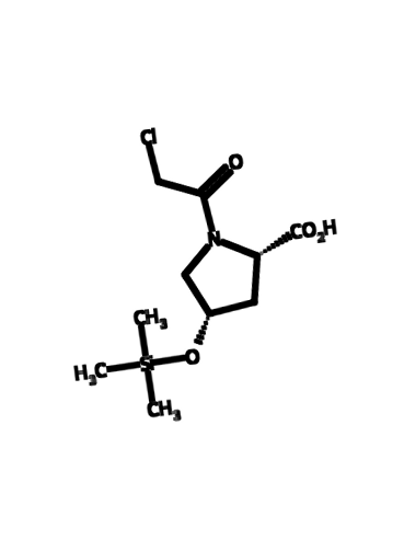 C[Si](C)(C)O[C@H]1C[C@@H](C(=O)O)N(C(=O)CCl)C1